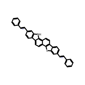 C(=C\c1ccc2c(c1)[nH]c1c2ccc2c1ccc1c3ccc(/C=C/c4ccccc4)cc3sc12)/c1ccccc1